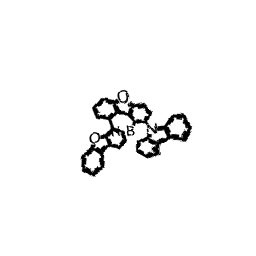 Bc1c(-n2c3ccccc3c3ccccc32)ccc2oc3cccc(-c4cccc5c4oc4ccccc45)c3c12